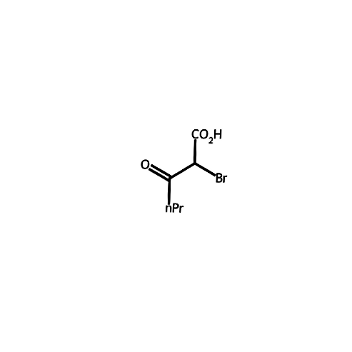 CCCC(=O)C(Br)C(=O)O